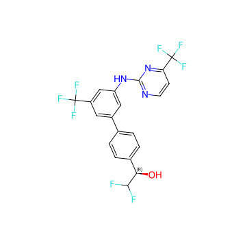 O[C@H](c1ccc(-c2cc(Nc3nccc(C(F)(F)F)n3)cc(C(F)(F)F)c2)cc1)C(F)F